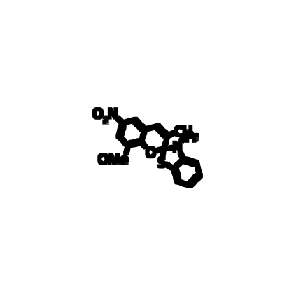 COc1cc([N+](=O)[O-])cc2c1OC1(Sc3ccccc3N1C(C)C)C(C)=C2